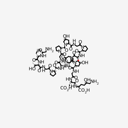 CC[C@H](C)[C@H](NC(=O)[C@@H]1CCCN1C(=O)CNC(=O)[C@@H](NC(=O)[C@H](CC(C)C)NC(=O)CN)[C@@H](C)O)C(=O)NCC(=O)N1CCC[C@H]1C(=O)N1C[C@H](O)C[C@H]1C(=O)NCC(=O)N1CCC[C@H]1C(=O)N[C@@H](C)C(=O)NCC(=O)N[C@@H](C)C(=O)N1C[C@H](O)C[C@H]1C(=O)NCC(=O)N[C@@H](CC(=O)O)C(=O)N[C@@H](CC[C@@H](O)CN)C(=O)O